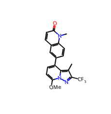 COc1ccc(-c2ccc3c(ccc(=O)n3C)c2)c2c(C)c(C(F)(F)F)nn12